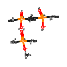 CCCCCCP(=O)([O-])CCCC.CCCCCCP(=O)([O-])CCCC.CCCCCCP(=O)([O-])CCCC.[Fe+3]